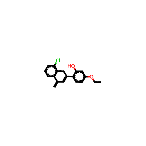 C=C1C=C(c2ccc(OCC)cc2O)Cc2c(Cl)cccc21